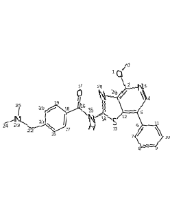 COc1ncc(-c2ccccc2)c2sc(NC(=O)c3ccc(CN(C)C)cc3)nc12